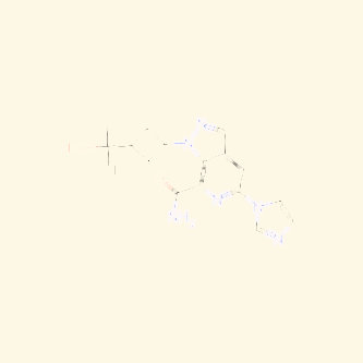 CC(C)(O)C1CC(n2ncc3cc(-n4ccnc4)nc(C(N)=O)c32)C1